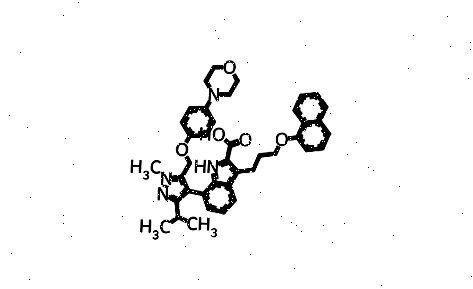 CC(C)c1nn(C)c(COc2ccc(N3CCOCC3)cc2)c1-c1cccc2c(CCCOc3cccc4ccccc34)c(C(=O)O)[nH]c12